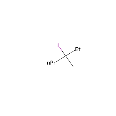 CCCC(C)(I)CC